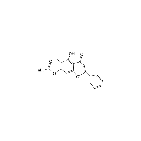 CCCCC(=O)Oc1cc2oc(-c3ccccc3)cc(=O)c2c(O)c1C